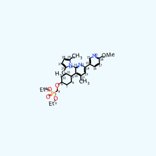 CCOP(=O)(COC1CCC(c2c(C)cc(-c3ccc(OC)nc3)nc2-n2c(C)ccc2C)CC1)OCC